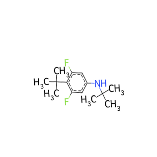 CC(C)(C)Nc1cc(F)c(C(C)(C)C)c(F)c1